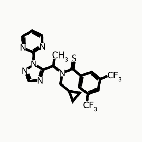 CC(c1ncnn1-c1ncccn1)N(CC1CC1)C(=S)c1cc(C(F)(F)F)cc(C(F)(F)F)c1